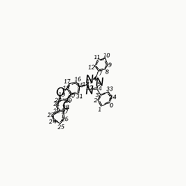 c1ccc(-c2nc(-c3ccccc3)nc(-c3ccc4oc5cc6ccccc6cc5c4c3)n2)cc1